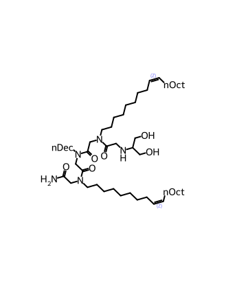 CCCCCCCC/C=C\CCCCCCCCN(CC(N)=O)C(=O)CN(CCCCCCCCCC)C(=O)CN(CCCCCCCC/C=C\CCCCCCCC)C(=O)CNC(CO)CO